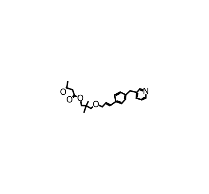 CC(=O)CC(=O)OCC(C)(C)COCC=Cc1ccc(Cc2cccnc2)cc1